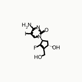 Nc1nc(=O)n([C@H]2C[C@H](O)C(CO)=C2F)cc1I